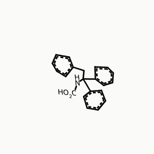 O=C(O)NC(Cc1ccccc1)(c1ccccc1)c1ccccc1